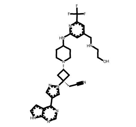 N#CC[C@]1(n2cc(-c3ncnc4[nH]ccc34)cn2)C[C@H](N2CCC(Nc3cc(CNCCO)cc(C(F)(F)F)n3)CC2)C1